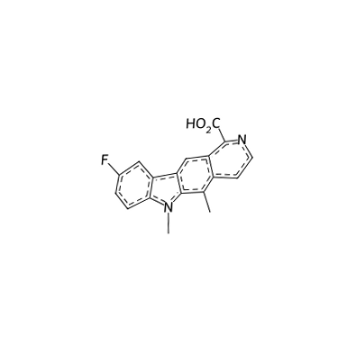 Cc1c2ccnc(C(=O)O)c2cc2c3cc(F)ccc3n(C)c12